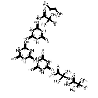 CC(C)(S)C(=O)O.CC(C)(S)C(=O)O.CC(C)(S)C(=O)O.O=c1[nH]c(=O)[nH]c(=O)[nH]1.O=c1[nH]c(=O)[nH]c(=O)[nH]1.O=c1[nH]c(=O)[nH]c(=O)[nH]1.OCCO